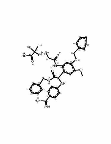 COc1cc(C(Nc2ccc(C(=N)N)cc2)C(=O)NCc2ccccc2)c(NC(=O)CN)cc1OCc1ccccc1.O=C(O)C(F)(F)F